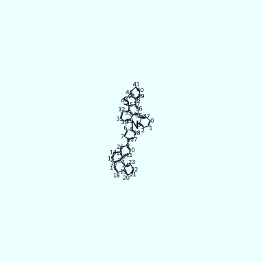 c1ccc(N(c2ccc(-c3ccc4c(ccc5ccc6ccccc6c54)c3)cc2)c2cccc3c2ccc2c4ccccc4sc32)cc1